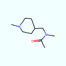 CC(=O)N(C)CC1CCN(C)CC1